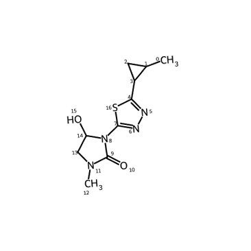 CC1CC1c1nnc(N2C(=O)N(C)CC2O)s1